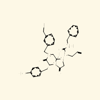 C=CCN(C(=O)NCc1ccccc1)N1CC(=O)N2[C@@H](Cc3ccc(O)cc3)C(=O)N(Cc3cccc(CI)c3)C[C@@H]21